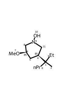 CCCC(C)(CC)[C@H]1C[C@@H](OC)CN(O)C1